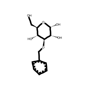 OC[C@H]1O[C@H](O)[C@H](O)[C@@H](OCc2ccccc2)[C@@H]1O